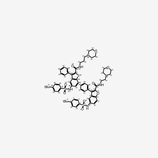 CC(C)(C)c1ccc(S(=O)(=O)Nc2ccc3oc(C(=O)NCCN4CCOCC4)c(-c4ccccc4)c3c2)cc1.CC(C)(C)c1ccc(S(=O)(=O)Nc2ccc3sc(C(=O)NCCCN4CCOCC4)c(-c4ccccc4)c3c2)cc1